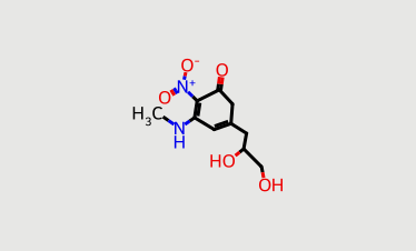 CNC1=C([N+](=O)[O-])C(=O)CC(CC(O)CO)=C1